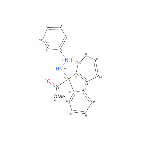 COC(=O)C(NNc1ccccc1)(c1ccccc1)c1ccccc1